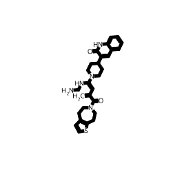 C=C(/C=C(\NCN)N1CCC(c2cc3ccccc3[nH]c2=O)CC1)C(=O)N1CCc2ccsc2CC1